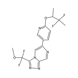 COC(F)(F)c1nnc2cnc(-c3ccc(OC(C)C(C)(F)F)nc3)cn12